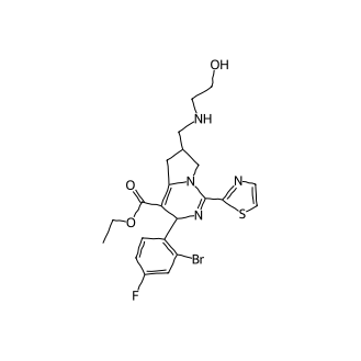 CCOC(=O)C1=C2CC(CNCCO)CN2C(c2nccs2)=NC1c1ccc(F)cc1Br